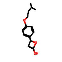 CC(C)CCOc1ccc(C2CC(O)O2)cc1